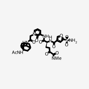 CNC(=O)C(=O)CC[C@H](NC(=O)c1coc(S(N)(=O)=O)c1)C(=O)Nc1cccn(CC(=O)NC2C3CC4CC2C(NC(C)=O)(C4)C3)c1=O